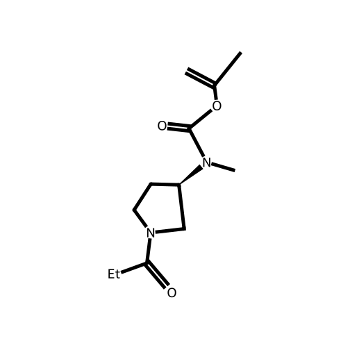 C=C(C)OC(=O)N(C)[C@@H]1CCN(C(=O)CC)C1